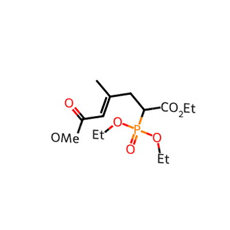 CCOC(=O)C(CC(C)=CC(=O)OC)P(=O)(OCC)OCC